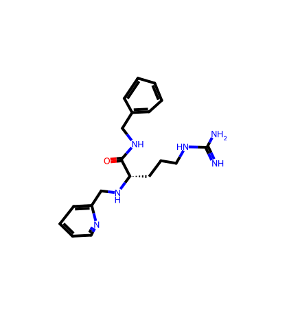 N=C(N)NCCC[C@H](NCc1ccccn1)C(=O)NCc1ccccc1